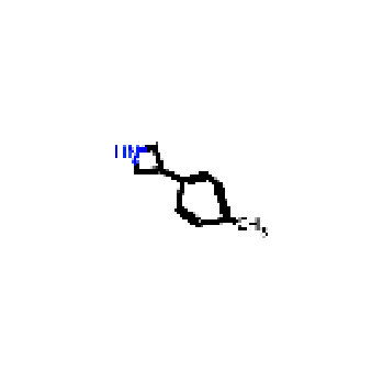 Cc1ccc(C2CNC2)cc1